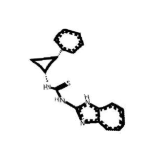 S=C(Nc1nc2ccccc2[nH]1)N[C@@H]1C[C@@H]1c1ccccc1